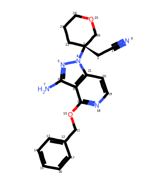 N#CC[C@@]1(n2nc(N)c3c(OCc4ccccc4)nccc32)CCCOC1